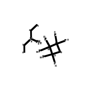 CCN(P)CC.FC1(F)CC(F)(F)C1(F)F